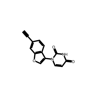 C#Cc1ccc2c(-n3ccc(=O)[nH]c3=O)coc2c1